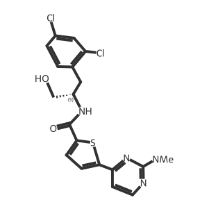 CNc1nccc(-c2ccc(C(=O)N[C@H](CO)Cc3ccc(Cl)cc3Cl)s2)n1